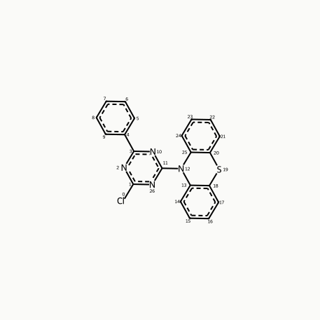 Clc1nc(-c2ccccc2)nc(N2c3ccccc3Sc3ccccc32)n1